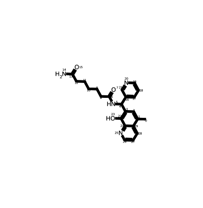 Cc1cc(C(NC(=O)CCCCCC(N)=O)c2cccnc2)c(O)c2ncccc12